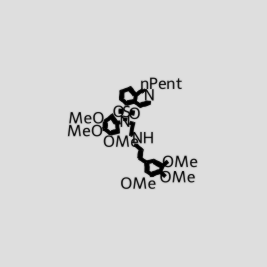 CCCCCc1nccc2c(S(=O)(=O)N(CCNCC=Cc3cc(OC)c(OC)c(OC)c3)c3cc(OC)c(OC)c(OC)c3)cccc12